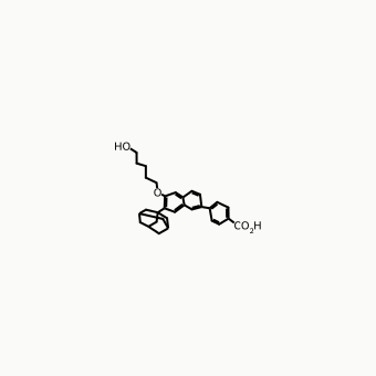 O=C(O)c1ccc(-c2ccc3cc(OCCCCCO)c(C45CC6CC(CC(C6)C4)C5)cc3c2)cc1